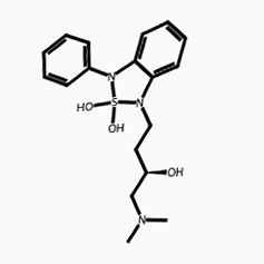 CN(C)C[C@H](O)CCN1c2ccccc2N(c2ccccc2)S1(O)O